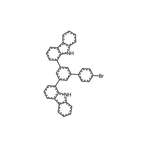 Brc1ccc(-c2cc(-c3cccc4c3[nH]c3ccccc34)cc(-c3cccc4c3[nH]c3ccccc34)c2)cc1